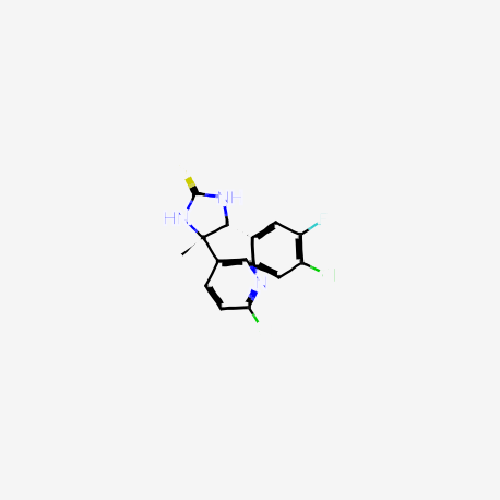 C[C@@]1(c2ccc(Cl)nc2)NC(=S)N[C@@H]1c1ccc(Cl)c(F)c1